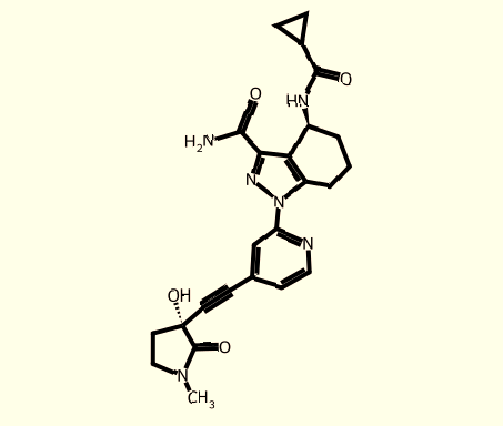 CN1CC[C@@](O)(C#Cc2ccnc(-n3nc(C(N)=O)c4c3CCC[C@@H]4NC(=O)C3CC3)c2)C1=O